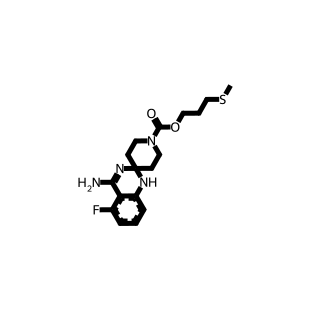 CSCCCOC(=O)N1CCC2(CC1)N=C(N)c1c(F)cccc1N2